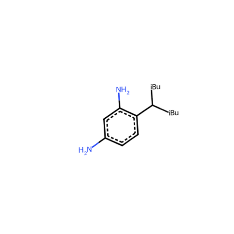 CCC(C)C(c1ccc(N)cc1N)C(C)CC